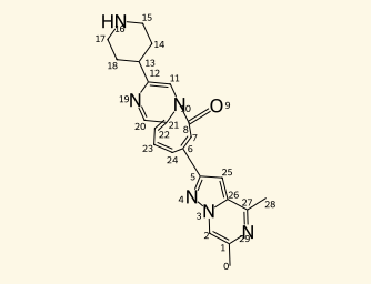 Cc1cn2nc(C3=C\C(=O)N4C=C(C5CCNCC5)N=C\C4=C/C=C/3)cc2c(C)n1